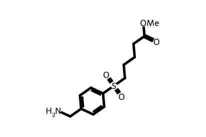 COC(=O)CCCCS(=O)(=O)c1ccc(CN)cc1